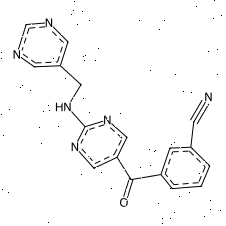 N#Cc1cccc(C(=O)c2cnc(NCc3cncnc3)nc2)c1